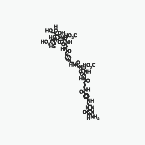 Nc1nc2ncc(CNc3ccc(C(=O)NCCCC(=O)NCC(=O)N[C@@H](CC(=O)O)C(=O)NCC(=O)NCCN4CCN(CC(=O)NCC(=O)N[C@@H](CC(=O)O)C(=O)N[C@H](C(=O)N[C@H](CS)C(=O)O)[C@@H](O)[C@H](O)[C@H](O)CO)CC4)cc3)nc2c(=O)[nH]1